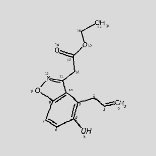 C=CCc1c(O)ccc2onc(CC(=O)OCC)c12